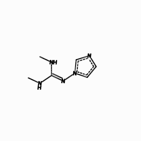 CNC(=Nn1ccnc1)NC